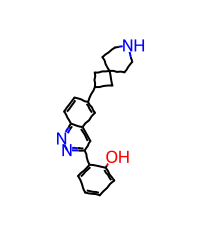 Oc1ccccc1-c1cc2cc(C3CC4(CCNCC4)C3)ccc2nn1